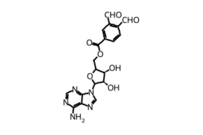 Nc1ncnc2c1ncn2C1OC(COC(=O)c2ccc(C=O)c(C=O)c2)[C@@H](O)[C@H]1O